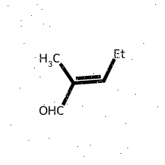 CCC=C(C)C=O